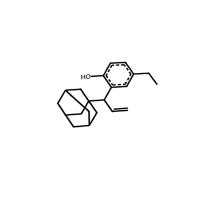 C=CC(c1cc(CC)ccc1O)C12CC3CC(CC(C3)C1)C2